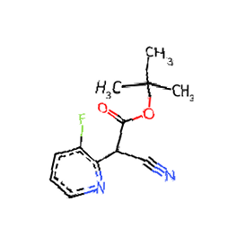 CC(C)(C)OC(=O)C(C#N)c1ncccc1F